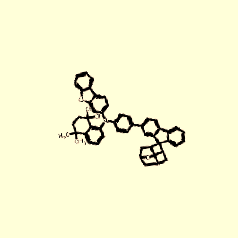 CC1(C)CCC(C)(C)c2c(N(c3ccc(-c4ccc5c(c4)C4(c6ccccc6-5)C5CC6CC7CC4C75C6)cc3)c3ccc4c(c3)oc3ccccc34)cccc21